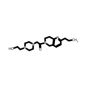 CCCc1ccc2c(n1)CCN(C(=O)CN1CCN(CCO)CC1)C2